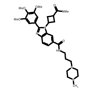 CNC(=O)C1CC(n2c(-c3cc(OC)c(OC)c(OC)c3)nc3ccc(C(=O)NCCCN4CCN(C)CC4)cc32)C1